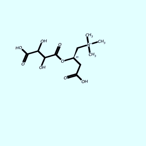 C[N+](C)(C)C[C@@H](CC(=O)O)OC(=O)C(O)C(O)C(=O)O